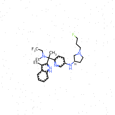 CCc1c(C(C)(c2ccc(N[C@@H]3CCN(CCCF)C3)cn2)N(CC)CC(F)(F)F)[nH]c2ccccc12